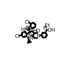 CCOC(O)c1cccc(N2CC[C@H]3[C@@H](C2=O)[C@H](c2cccc(Cl)c2F)[C@]2(C(=O)Nc4cc(Cl)ccc42)N3CC2CC2)c1